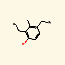 Cc1c(CC(C)C)ccc(O)c1CC(C)C